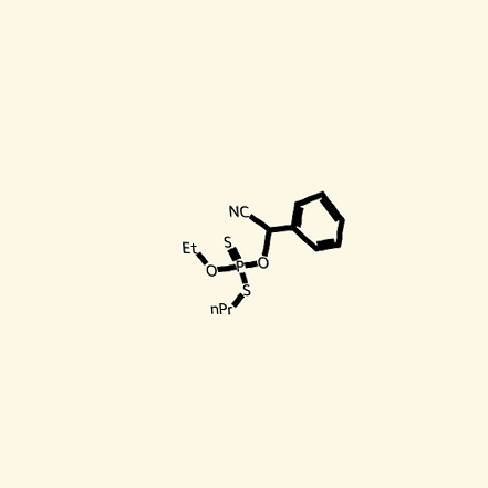 CCCSP(=S)(OCC)OC(C#N)c1ccccc1